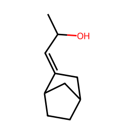 CC(O)C=C1CC2CCC1C2